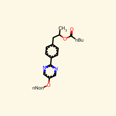 CCCCCCCCCOc1cnc(-c2ccc(CC(C)OC(=O)CCCC)cc2)nc1